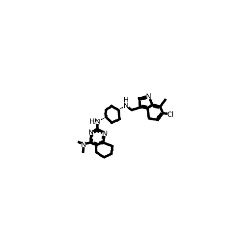 CC1=C2N=CC(CN[C@H]3CC[C@@H](Nc4nc5c(c(N(C)C)n4)CCCC5)CC3)=C2CC=C1Cl